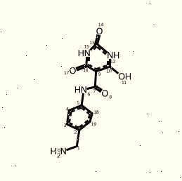 NCc1ccc(NC(=O)c2c(O)[nH]c(=O)[nH]c2=O)cc1